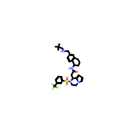 CC(C)(C)CNCc1ccc2c(c1)CCCC2NC(=O)CC1c2cccn2CCN1S(=O)(=O)c1cccc(C(F)(F)F)c1